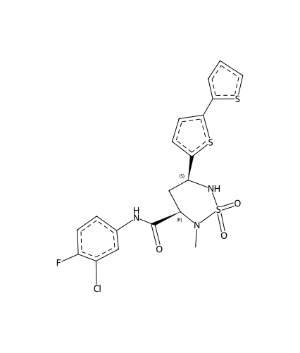 CN1[C@@H](C(=O)Nc2ccc(F)c(Cl)c2)C[C@@H](c2ccc(-c3cccs3)s2)NS1(=O)=O